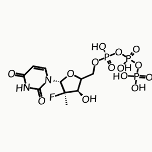 C[C@@]1(F)[C@H](O)C(CO[P@@](=O)(O)OP(=O)(O)OP(=O)(O)O)O[C@H]1n1ccc(=O)[nH]c1=O